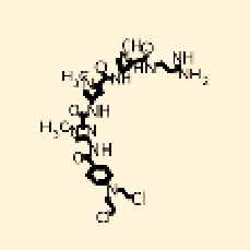 Cn1cc(NC(=O)c2cc(NC(=O)c3nc(NC(=O)c4ccc(N(CCCl)CCCl)cc4)cn3C)cn2C)cc1C(=O)NCCC(=N)N